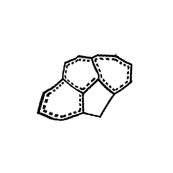 [c]1ccc2c3c1ccc1cccc(c13)C2